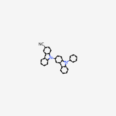 N#Cc1ccc2c(c1)c1ccccc1n2-c1ccc2c(c1)c1ccccc1n2-c1ccccc1